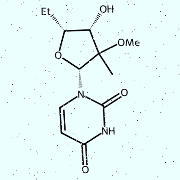 CC[C@H]1O[C@@H](n2ccc(=O)[nH]c2=O)C(C)(OC)[C@H]1O